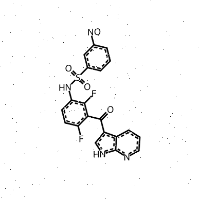 O=Nc1cccc(S(=O)(=O)Nc2ccc(F)c(C(=O)c3c[nH]c4ncccc34)c2F)c1